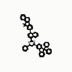 CC1(C)c2cc(-c3ccc(-c4nc(-c5ccccc5)cc(-c5ccc6c(c5)-c5ccccc5C6(c5ccccc5)c5ccccc5)n4)c4ccccc34)ccc2-c2ccc3ccccc3c21